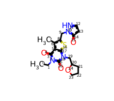 CCn1c(=O)c2c(C)c(Cn3[nH]ccc3=O)sc2n(CC2CCCO2)c1=O